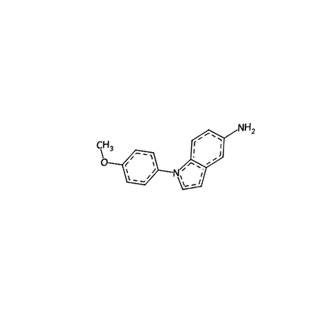 COc1ccc(-n2ccc3cc(N)ccc32)cc1